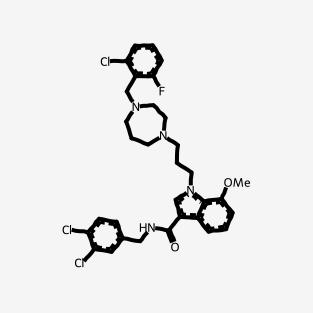 COc1cccc2c(C(=O)NCc3ccc(Cl)c(Cl)c3)cn(CCCN3CCCN(Cc4c(F)cccc4Cl)CC3)c12